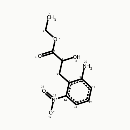 CCOC(=O)C(O)Cc1c(N)cccc1[N+](=O)[O-]